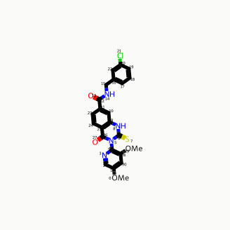 COc1cnc(-n2c(=S)[nH]c3cc(C(=O)NCc4cccc(Cl)c4)ccc3c2=O)c(OC)c1